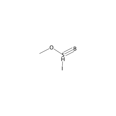 B#[SH](I)OC